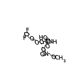 COCCCN1CCOc2ccc(CO[C@H]3CNC[C@@H](O)[C@@H]3c3ccc(OCCOCc4cc(F)ccc4F)cc3)cc21